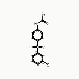 CC(C)C(=O)Nc1ccc(S(=O)(=O)c2cccc(Cl)c2)cc1